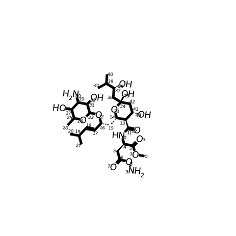 COC(=O)[C@@H](CC(=O)ON)NC(=O)[C@H]1[C@H](C[C@H](/C=C/C(C)C)OC2OC(C)C(O)C(N)C2O)O[C@](O)(C[C@@H](O)C(C)C)C[C@@H]1O